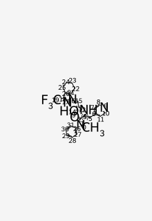 CN(C(=O)[C@H](Cc1ccncc1)NC(O)Cn1nc(C(F)(F)F)c2c1CCCC2)c1ccccc1